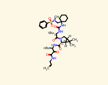 C=CCNC(=O)C(=O)C(CCCC)NC(=O)[C@@H]1[C@@H]2[C@H](CN1C(=O)[C@@H](NC(=O)NC1(CN(C)S(=O)(=O)c3ccccc3)CCCCC1)C(C)(C)C)C2(C)C